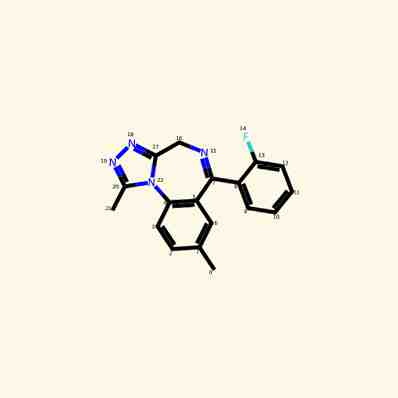 Cc1ccc2c(c1)C(c1ccccc1F)=NCc1nnc(C)n1-2